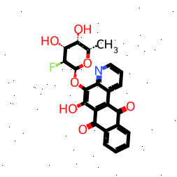 C[C@@H]1O[C@@H](Oc2c(O)c3c(c4cccnc24)C(=O)c2ccccc2C3=O)[C@@H](F)[C@H](O)[C@@H]1O